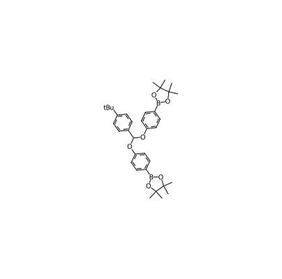 CC(C)(C)c1ccc(C(Oc2ccc(B3OC(C)(C)C(C)(C)O3)cc2)Oc2ccc(B3OC(C)(C)C(C)(C)O3)cc2)cc1